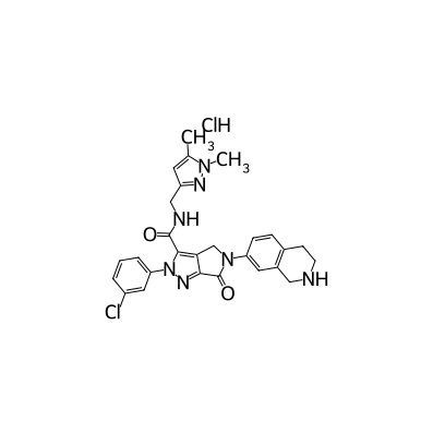 Cc1cc(CNC(=O)c2c3c(nn2-c2cccc(Cl)c2)C(=O)N(c2ccc4c(c2)CNCC4)C3)nn1C.Cl